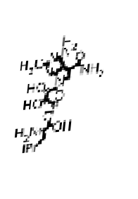 Cc1nc(N)c2c(C(N)=O)cn([C@@H]3O[C@H](COC(O)[C@@H](N)CC(C)C)[C@@H](O)[C@H]3O)c2n1